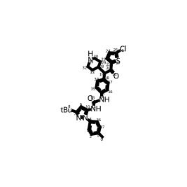 Cc1ccc(-n2nc(C(C)(C)C)cc2NC(=O)Nc2ccc(C(C(=O)c3ccc(Cl)s3)C3CCNCC3)cc2)cc1